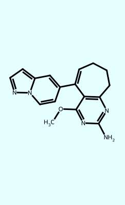 COc1nc(N)nc2c1C(c1ccn3nccc3c1)=CCCC2